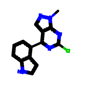 Cn1ncc2c(-c3cccc4[nH]ccc34)nc(Cl)nc21